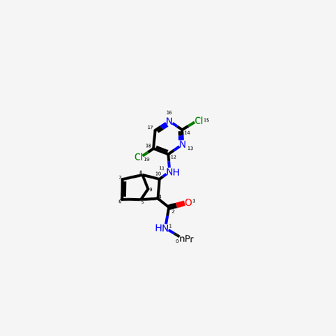 CCCNC(=O)C1C2C=CC(C2)C1Nc1nc(Cl)ncc1Cl